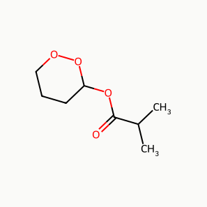 CC(C)C(=O)OC1CCCOO1